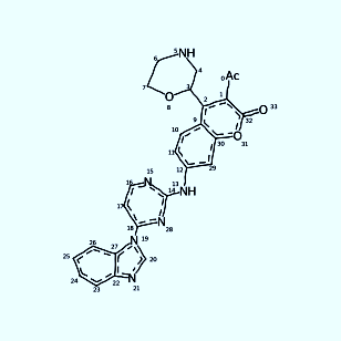 CC(=O)c1c(C2CNCCO2)c2ccc(Nc3nccc(-n4cnc5ccccc54)n3)cc2oc1=O